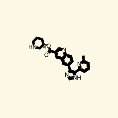 Cc1cccc(-c2[nH]cnc2-c2ccc3ncc(C(=O)O[C@@H]4CCCNC4)cc3c2)n1